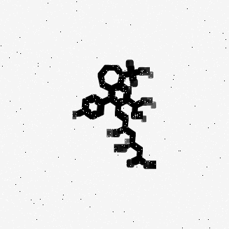 CC(C)c1nc2c(c(-c3ccc(F)cc3)c1C=CC(O)C[C@@H](O)CC(=O)O)CCCCN2S(C)(=O)=O